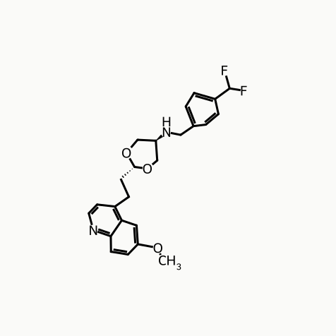 COc1ccc2nccc(CC[C@H]3OC[C@H](NCc4ccc(C(F)F)cc4)CO3)c2c1